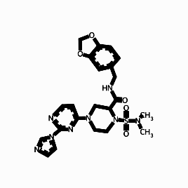 CN(C)S(=O)(=O)N1CCN(c2ccnc(-n3ccnc3)n2)CC1C(=O)NCc1ccc2c(c1)OCO2